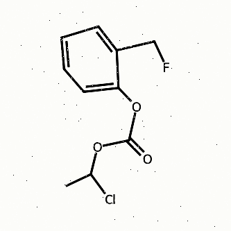 CC(Cl)OC(=O)Oc1ccccc1CF